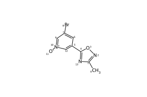 Cc1noc(-c2cc(Br)c[n+]([O-])c2)n1